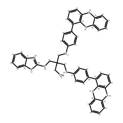 OCC(CSc1ccc(-c2cccc3c2Sc2ccccc2S3)cc1)(CSc1ccc(-c2cccc3c2Sc2ccccc2S3)cc1)CSc1nc2ccccc2s1